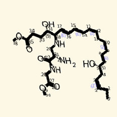 CC/C=C\C[C@H](O)/C=C/C=C\C\C=C/C=C/C=C/C(NC[C@H](N)C(=O)NCC(=O)OC)[C@@H](O)CCC(=O)OC